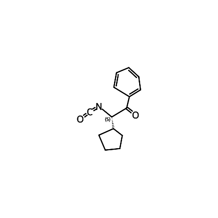 O=C=N[C@H](C(=O)c1ccccc1)C1CCCC1